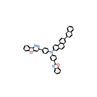 c1ccc2cc(-c3ccc4c(ccc5cc(N(c6ccc(-c7cc8oc9ccccc9c8nn7)cc6)c6ccc(-c7nc8ccccc8o7)cc6)ccc54)c3)ccc2c1